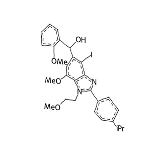 COCCn1c(-c2ccc(C(C)C)cc2)nc2c(I)c(C(O)c3ccccc3OC)cc(OC)c21